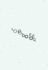 C=CC1CCC(C2CCC(COc3ccc(-c4ccc(OCC)c(F)c4F)cc3)CO2)CC1